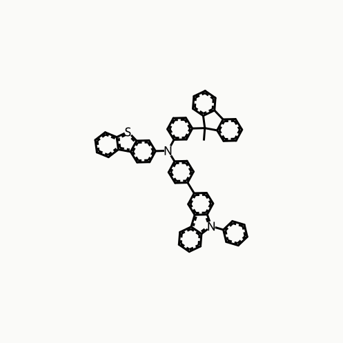 CC1(c2cccc(N(c3ccc(-c4ccc5c(c4)c4ccccc4n5-c4ccccc4)cc3)c3ccc4c(c3)sc3ccccc34)c2)c2ccccc2-c2ccccc21